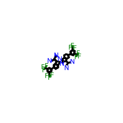 N#CC(C#N)=C1c2cc(-c3cc(C(F)(F)F)cc(C(F)(F)F)c3)ccc2-c2nc3c(nc21)C1=C(C=C(c2cc(C(F)(F)F)cc(C(F)(F)F)c2)CC1)C3C(C#N)C#N